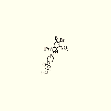 CC(C)n1c(N2CCN(C(=O)OC(C)(C)O)CC2)nc2c([N+](=O)[O-])c(Br)c(Br)cc21